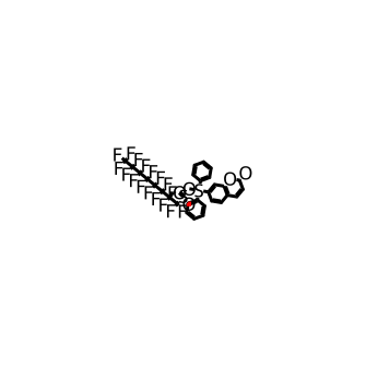 O=c1ccc2ccc(S(OS(=O)(=O)C(F)(F)C(F)(F)C(F)(F)C(F)(F)C(F)(F)C(F)(F)C(F)(F)C(F)(F)F)(c3ccccc3)c3ccccc3)cc2o1